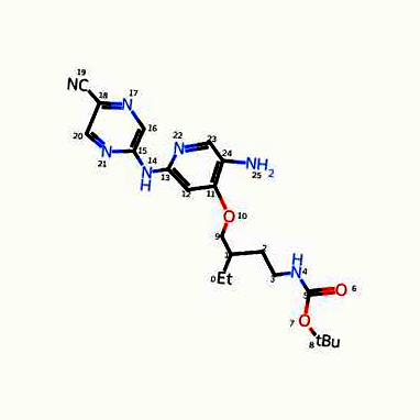 CCC(CCNC(=O)OC(C)(C)C)COc1cc(Nc2cnc(C#N)cn2)ncc1N